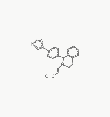 O=CC=CN1CCc2ccccc2C1c1ccc(-n2cncn2)cc1